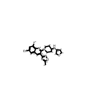 CCc1cc(F)c2nc(N3CCC(N[C@H]4CCOC4)CC3)c(-c3noc(C)n3)cc2c1